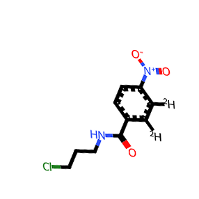 [2H]c1c(C(=O)NCCCCl)ccc([N+](=O)[O-])c1[2H]